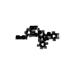 COCc1ccc(OC(F)(F)F)c(CNC(=O)Nc2c(C)c(Oc3ccccc3)nn2-c2ccccc2)c1